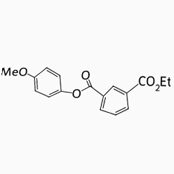 CCOC(=O)c1cccc(C(=O)Oc2ccc(OC)cc2)c1